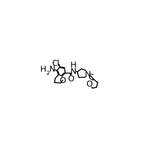 Nc1c(Cl)cc(C(=O)NC2CCN(CC3CCCO3)CC2)c2c1CCCO2